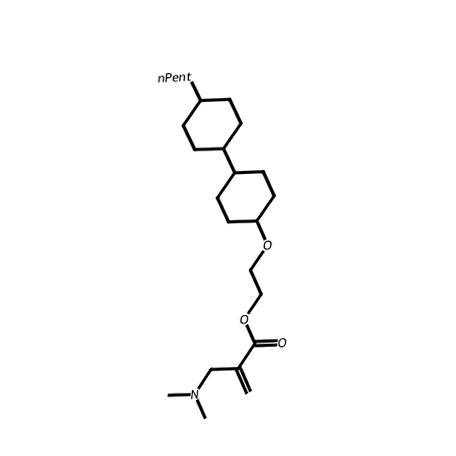 C=C(CN(C)C)C(=O)OCCOC1CCC(C2CCC(CCCCC)CC2)CC1